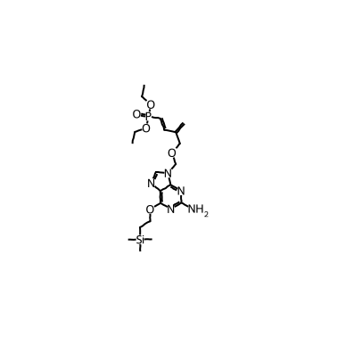 C=C(C=CP(=O)(OCC)OCC)COCn1cnc2c(OCC[Si](C)(C)C)nc(N)nc21